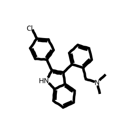 CN(C)Cc1ccccc1-c1c(-c2ccc(Cl)cc2)[nH]c2ccccc12